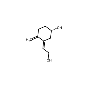 C=C1CC[C@H](O)CC1=CCO